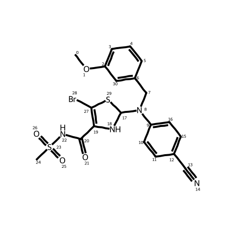 COc1cccc(CN(c2ccc(C#N)cc2)C2NC(C(=O)NS(C)(=O)=O)=C(Br)S2)c1